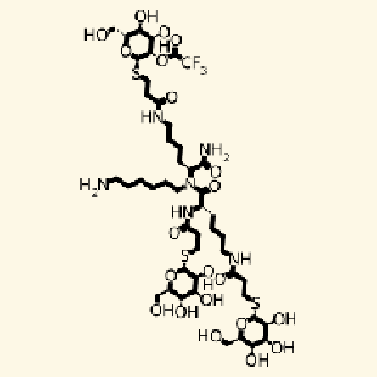 NCCCCCCN(C(=O)[C@H](CCCCNC(=O)CCS[C@H]1O[C@H](CO)[C@@H](O)[C@H](O)[C@@H]1O)NC(=O)CCS[C@H]1O[C@H](CO)[C@@H](O)[C@H](O)[C@@H]1O)[C@@H](CCCCNC(=O)CCS[C@H]1O[C@H](CO)[C@@H](O)[C@H](O)[C@@H]1OC(=O)C(F)(F)F)C(N)=O